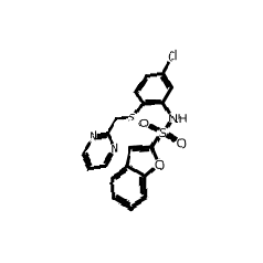 O=S(=O)(Nc1cc(Cl)ccc1SCc1ncccn1)c1cc2ccccc2o1